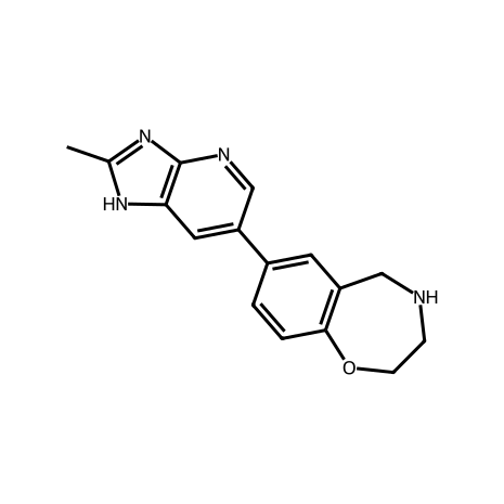 Cc1nc2ncc(-c3ccc4c(c3)CNCCO4)cc2[nH]1